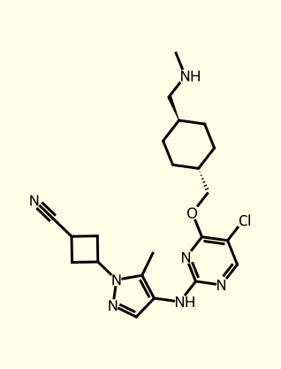 CNC[C@H]1CC[C@H](COc2nc(Nc3cnn(C4CC(C#N)C4)c3C)ncc2Cl)CC1